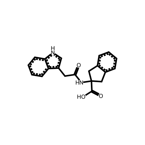 O=C(Cc1c[nH]c2ccccc12)NC1(C(=O)O)Cc2ccccc2C1